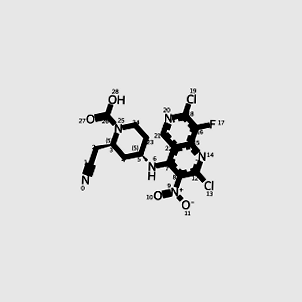 N#CC[C@@H]1C[C@@H](Nc2c([N+](=O)[O-])c(Cl)nc3c(F)c(Cl)ncc23)CCN1C(=O)O